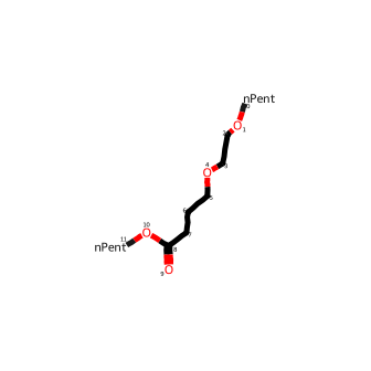 CCCCCOCCOCCCC(=O)OCCCCC